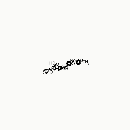 COc1cccc(Nc2nc3ccc(CC(=O)Nc4ccc(C5CN(C(=O)CN6CCOCC6)CC5C(=O)O)cc4)cc3o2)c1